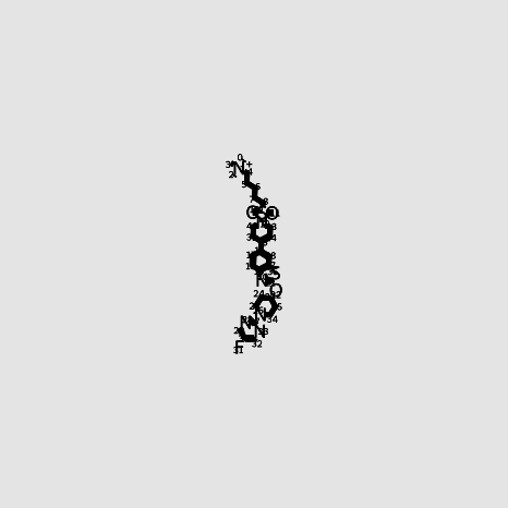 C[N+](C)(C)CCCCCS(=O)(=O)N1CC=C(c2ccc3nc(OC4CCN(c5ncc(F)cn5)CC4)sc3c2)CC1